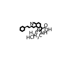 CNc1c(C(=O)O)c2ccc3cnc(/C=C/c4ccccc4)cc3c2n1C.Cl